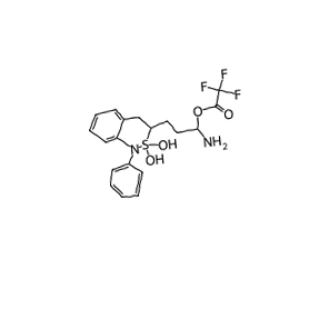 NC(CCC1Cc2ccccc2N(c2ccccc2)S1(O)O)OC(=O)C(F)(F)F